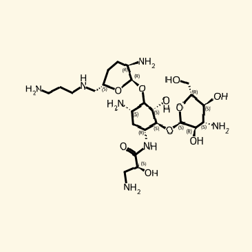 NCCCNC[C@@H]1CC[C@@H](N)[C@@H](OC2[C@@H](N)C[C@@H](NC(=O)[C@@H](O)CN)[C@H](O[C@H]3O[C@H](CO)[C@@H](O)[C@H](N)[C@H]3O)[C@H]2O)O1